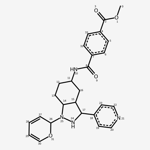 COC(=O)c1ccc(C(=O)NC2CCC3C(C2)C(c2ccncc2)NN3C2C=CC=CO2)cc1